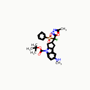 CNc1ccc2c(c1)c1c(n2C(=O)OC(C)(C)C)CC(C(F)(c2nnc(C)o2)S(=O)(=O)c2ccccc2)C1